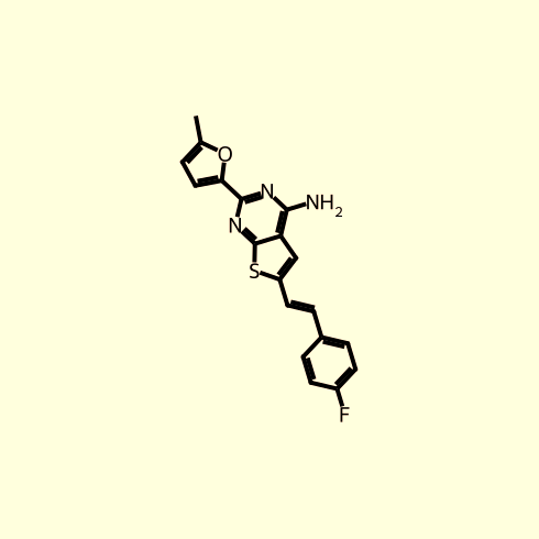 Cc1ccc(-c2nc(N)c3cc(/C=C/c4ccc(F)cc4)sc3n2)o1